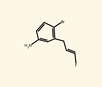 Nc1ccc(Br)c(CC=CF)c1